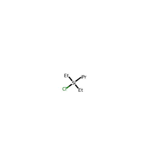 CC[Si](Cl)(CC)C(C)C